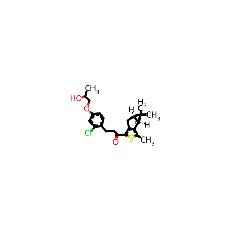 Cc1sc(C(=O)CCc2ccc(OCC(C)O)cc2Cl)c2c1[C@H]1[C@@H](C2)C1(C)C